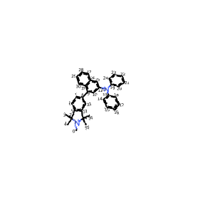 CN1C(C)(C)c2ccc(-c3cc(N(c4ccccc4)c4ccccc4)cc4ccccc34)cc2C1(C)C